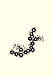 CC(C)(C)c1ccc(N(c2ccc3cc4c5cccc6c7c8ccc(N(c9ccc(C(C)(C)C)cc9)c9cccc%10c9oc9cc(-c%11ccccc%11)ccc9%10)cc8oc7n(c4cc3c2)c56)c2cccc3c2oc2cc(-c4ccccc4)ccc23)cc1